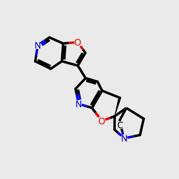 c1cc2c(-c3cnc4c(c3)C[C@@]3(CN5CCC3CC5)O4)coc2cn1